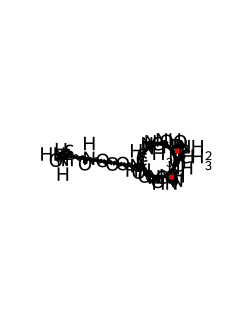 CC(C)C[C@@H]1NC(=O)[C@H](CCC(N)=O)NC(=O)[C@@H](N)Cc2cn(nn2)CCCC[C@@H](C(=O)NCCCOCCOCCOCCCNC(=O)CCCC[C@H]2SC[C@H]3NC(=O)N[C@H]32)NC(=O)C2CCCN2C(=O)CNC(=O)[C@H](Cc2c[nH]cn2)NC1=O